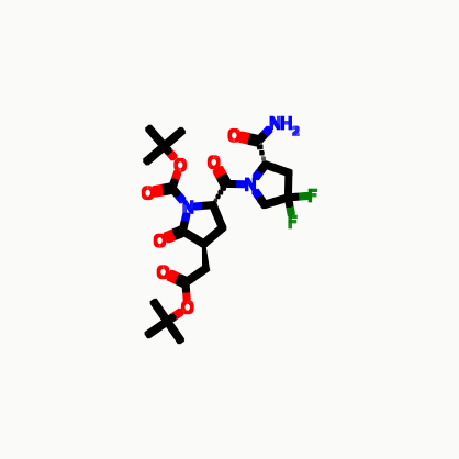 CC(C)(C)OC(=O)C[C@@H]1C[C@@H](C(=O)N2CC(F)(F)C[C@H]2C(N)=O)N(C(=O)OC(C)(C)C)C1=O